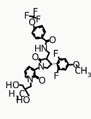 COc1cc(F)c([C@@H]2CN(c3cccn(CC(C)(CO)CO)c3=O)C(=O)C2CNC(=O)c2ccc(OC(F)(F)F)cc2)c(F)c1